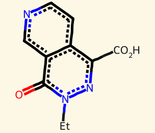 CCn1nc(C(=O)O)c2ccncc2c1=O